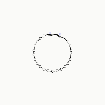 [C]1=C/C=C/CCCCCCCCCCCCCCCCCCCCCC/1